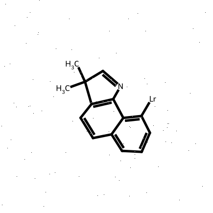 CC1(C)C=Nc2c1ccc1ccc[c]([Lr])c21